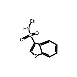 CCNS(=O)(=O)c1csc2ccccc12